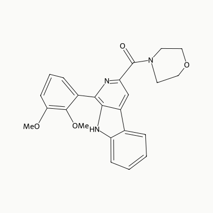 COc1cccc(-c2nc(C(=O)N3CCOCC3)cc3c2[nH]c2ccccc23)c1OC